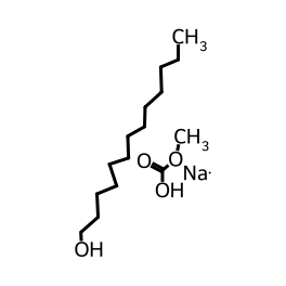 CCCCCCCCCCCCCO.COC(=O)O.[Na]